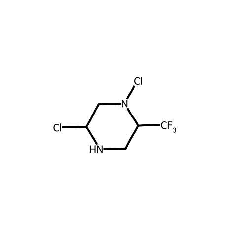 FC(F)(F)C1CNC(Cl)CN1Cl